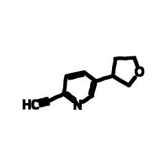 C#Cc1ccc(C2CCOC2)cn1